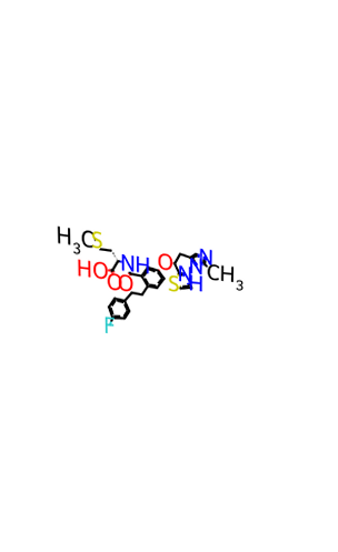 CSCC[C@H](NC(=O)c1cc(OC(Cc2cnc(C)[nH]2)c2nccs2)ccc1CCc1ccc(F)cc1)C(=O)O